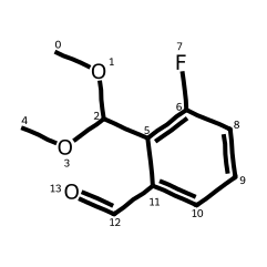 COC(OC)c1c(F)cccc1C=O